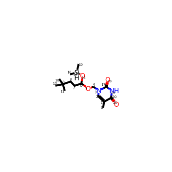 Cc1cn(COC(CCC(C)(C)C)O[SiH](C)C)c(=O)[nH]c1=O